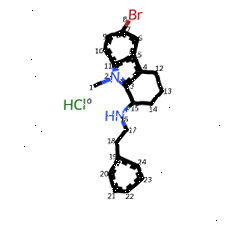 Cl.Cn1c2c(c3cc(Br)ccc31)CCCC2NCCc1ccccc1